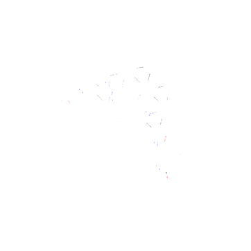 COc1nc(-c2cccc(-c3cccc(-c4ccn5c(=O)c(CN6CCC[C@H]6C(=O)O)cnc5c4)c3Cl)c2Cl)ccc1CN(C[C@@H]1CCC(=O)N1)C(=O)OC(C)(C)C